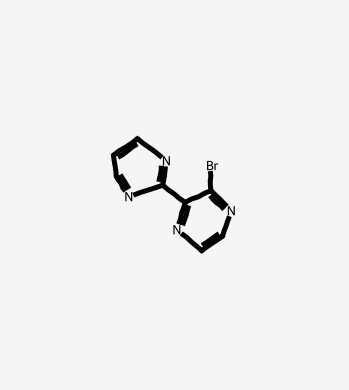 Brc1nccnc1-c1ncccn1